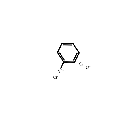 [Cl-].[Cl-].[Cl-].[V+3][c]1ccccc1